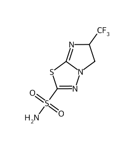 NS(=O)(=O)C1=NN2CC(C(F)(F)F)N=C2S1